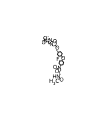 CC(=O)NCC1CN(c2ccc(Oc3ccc(COC4COc5nc([N+](=O)[O-])cn5C4)cc3)c(F)c2)C(=O)O1